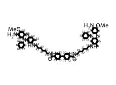 COc1cc2c(cc1N)N(c1ccccc1)C1C=C(NCCCCCCNC(=O)c3ccc(-c4ccc(C(=O)NCCCCCCNc5cc6c(cc5C)nc5cc(OC)c(N)cc5[n+]6-c5ccccc5)cc4)cc3)C(C)=CC1=N2